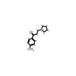 Cc1ccc(C(=O)CCN2CCCC2)cc1